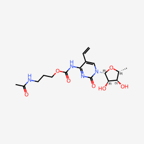 C=Cc1cn([C@@H]2O[C@H](C)[C@@H](O)[C@H]2O)c(=O)nc1NC(=O)OCCCNC(C)=O